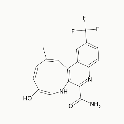 Cc1ccc(O)c[nH]c2c(C(N)=O)nc3ccc(C(F)(F)F)cc3c2c1